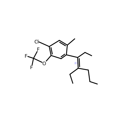 CCC/C(CC)=C(\CC)c1cc(OC(F)(F)F)c(Cl)cc1C